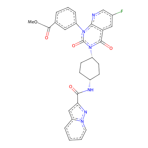 COC(=O)c1cccc(-n2c(=O)n([C@H]3CC[C@@H](NC(=O)c4cc5ccccn5n4)CC3)c(=O)c3cc(F)cnc32)c1